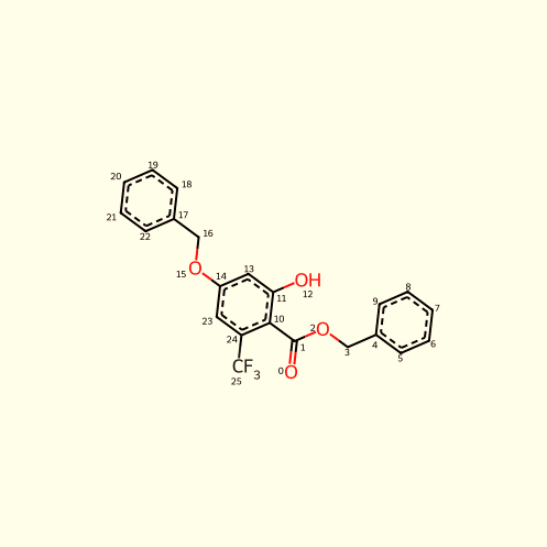 O=C(OCc1ccccc1)c1c(O)cc(OCc2ccccc2)cc1C(F)(F)F